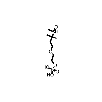 CC(C)(CCOCCOP(=O)(O)O)[SH](C)(C)=O